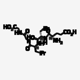 CC(C)C[C@H](NC(=O)[C@H](CC(C)C)NC(=O)[C@@H](N)CCC(=O)O)C(=O)NCC(=O)NCC(=O)O